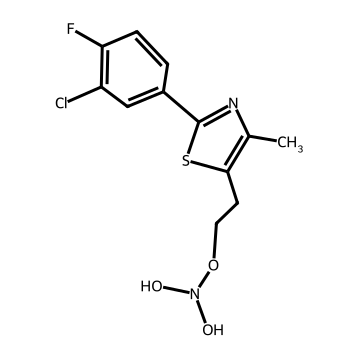 Cc1nc(-c2ccc(F)c(Cl)c2)sc1CCON(O)O